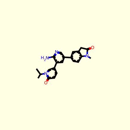 CC(C)n1cc(-c2cc(-c3ccc4c(c3)CC(=O)N4C)cnc2N)ccc1=O